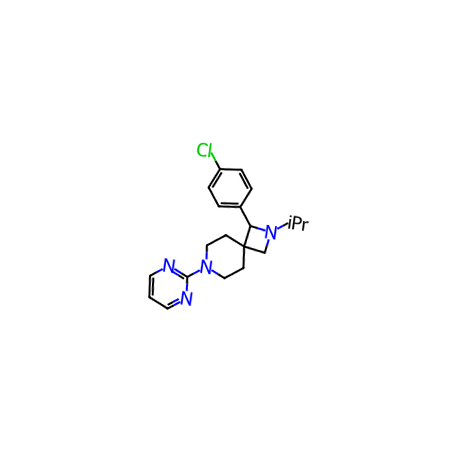 CC(C)N1CC2(CCN(c3ncccn3)CC2)C1c1ccc(Cl)cc1